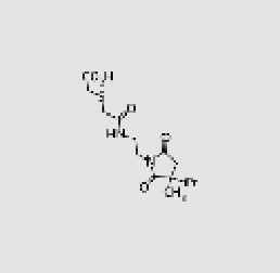 CC(C)C1(C)CC(=O)N(CCNC(=O)CSCC(=O)O)C1=O